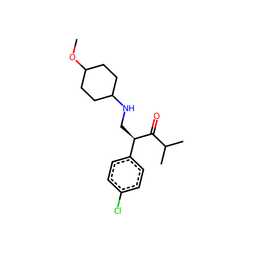 COC1CCC(NC[C@@H](C(=O)C(C)C)c2ccc(Cl)cc2)CC1